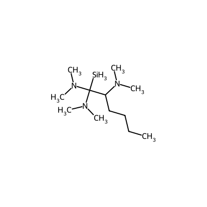 CCCCC(N(C)C)C([SiH3])(N(C)C)N(C)C